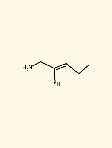 CCC=C(S)CN